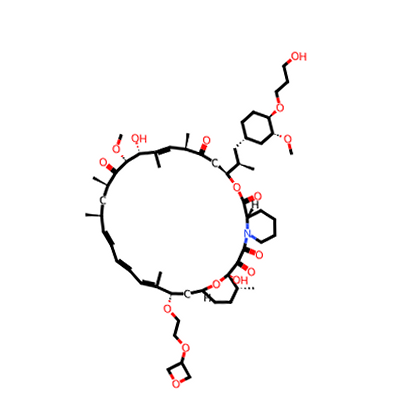 CO[C@@H]1C[C@H](C[C@@H](C)[C@@H]2CC(=O)[C@H](C)/C=C(\C)[C@@H](O)[C@@H](OC)C(=O)[C@H](C)C[C@H](C)/C=C/C=C/C=C(\C)[C@@H](OCCOC3COC3)C[C@@H]3CC[C@@H](C)[C@@](O)(O3)C(=O)C(=O)N3CCCC[C@H]3C(=O)O2)CC[C@H]1OCCCO